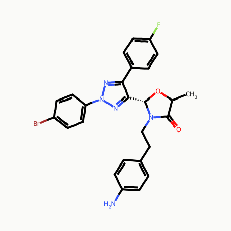 CC1O[C@@H](c2nn(-c3ccc(Br)cc3)nc2-c2ccc(F)cc2)N(CCc2ccc(N)cc2)C1=O